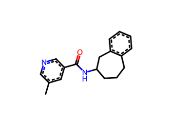 Cc1cncc(C(=O)NC2CCCc3ccccc3C2)c1